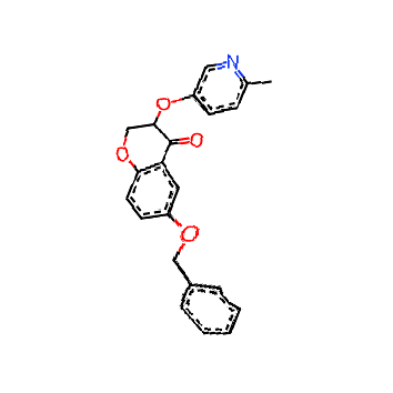 Cc1ccc(OC2COc3ccc(OCc4ccccc4)cc3C2=O)cn1